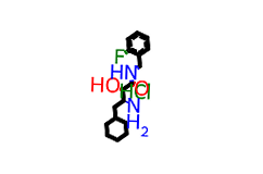 Cl.N[C@H](CC1CCCCC1)C(O)C(=O)NCc1ccccc1F